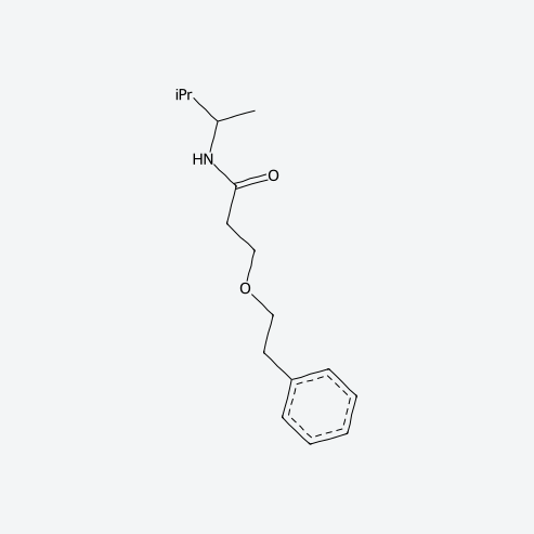 CC(C)C(C)NC(=O)CCOCCc1ccccc1